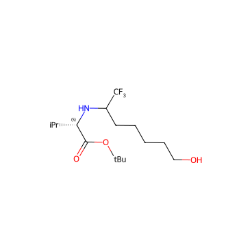 CC(C)[C@H](NC(CCCCCO)C(F)(F)F)C(=O)OC(C)(C)C